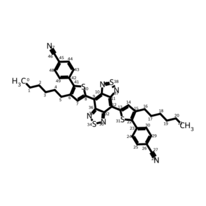 CCCCCCc1cc(-c2c3c(c(-c4cc(CCCCCC)c(-c5ccc(C#N)cc5)s4)c4nsnc24)N=S=N3)sc1-c1ccc(C#N)cc1